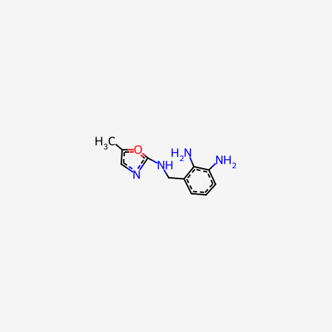 Cc1cnc(NCc2cccc(N)c2N)o1